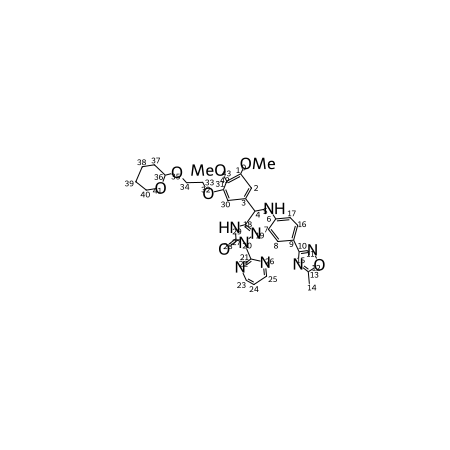 COc1cc(C(Nc2ccc(-c3noc(C)n3)cc2)c2nn(-c3ncccn3)c(=O)[nH]2)cc(OCCOC2CCCCO2)c1OC